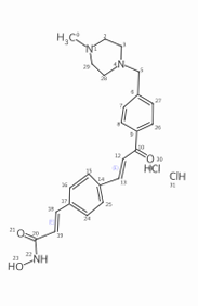 CN1CCN(Cc2ccc(C(=O)/C=C/c3ccc(/C=C/C(=O)NO)cc3)cc2)CC1.Cl.Cl